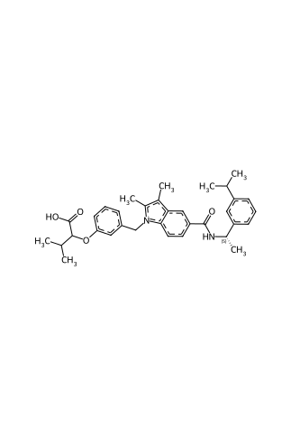 Cc1c(C)n(Cc2cccc(OC(C(=O)O)C(C)C)c2)c2ccc(C(=O)N[C@@H](C)c3cccc(C(C)C)c3)cc12